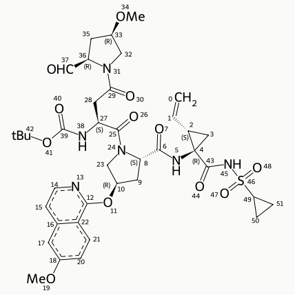 C=C[C@@H]1C[C@]1(NC(=O)[C@@H]1C[C@@H](Oc2nccc3cc(OC)ccc23)CN1C(=O)[C@H](CC(=O)N1C[C@H](OC)C[C@@H]1C=O)NC(=O)OC(C)(C)C)C(=O)NS(=O)(=O)C1CC1